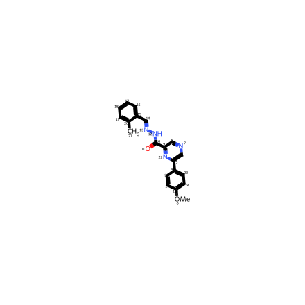 COc1ccc(-c2cncc(C(=O)NN=Cc3ccccc3C)n2)cc1